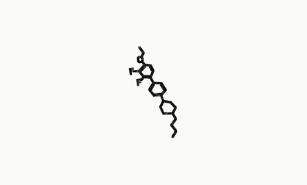 CCCCC1CCC(c2ccc(-c3ccc(OCC)c(F)c3F)cc2)CC1